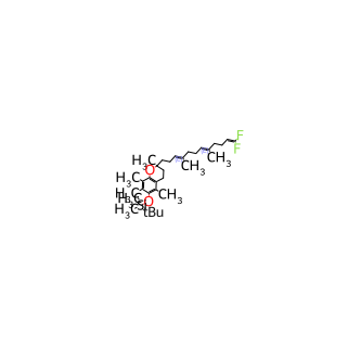 C/C(=C\CC/C(C)=C/CCC1(C)CCc2c(C)c(O[Si](C)(C)C(C)(C)C)c(C)c(C)c2O1)CCC=C(F)F